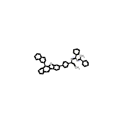 C=C=C(/N=C(\N=C(/C)c1ccccc1)c1ccccc1)c1ccc(-c2ccc3c(c2)oc2c(-c4ccc5ccccc5c4)c4ccccc4cc23)cc1